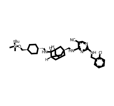 CC(C)(C)[Si](C)(C)OC[C@H]1CC[C@H](CN[C@@H]2[C@@H]3CC4C[C@H]2C[C@@](CNc2nc(NCc5ccccc5Cl)ncc2C#N)(C4)C3)CC1